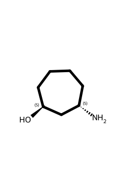 N[C@H]1CCCC[C@H](O)C1